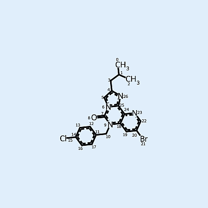 CC(C)Cc1cn2c(=O)n(Cc3ccc(Cl)cc3)c3cc(Br)cnc3c2n1